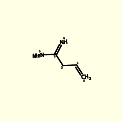 C=CCC(=N)NC